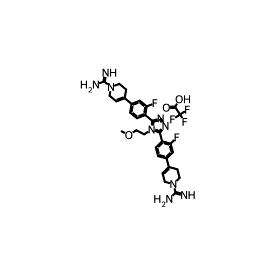 COCCn1c(-c2ccc(C3=CCN(C(=N)N)CC3)cc2F)nnc1-c1ccc(C2=CCN(C(=N)N)CC2)cc1F.O=C(O)C(F)(F)F